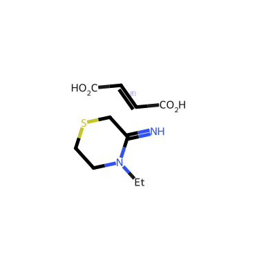 CCN1CCSCC1=N.O=C(O)/C=C/C(=O)O